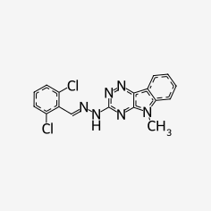 Cn1c2ccccc2c2nnc(NN=Cc3c(Cl)cccc3Cl)nc21